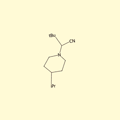 CC(C)C1CCN(C(C#N)C(C)(C)C)CC1